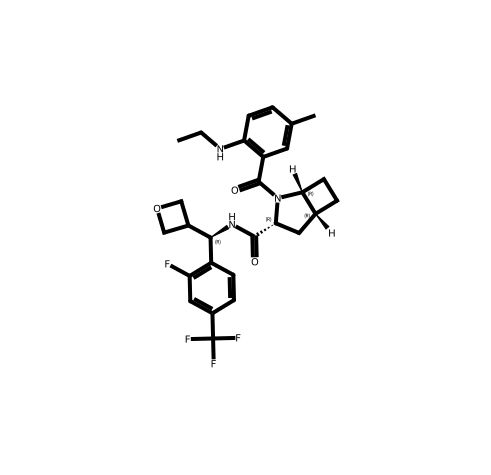 CCNc1ccc(C)cc1C(=O)N1[C@@H](C(=O)N[C@@H](c2ccc(C(F)(F)F)cc2F)C2COC2)C[C@H]2CC[C@H]21